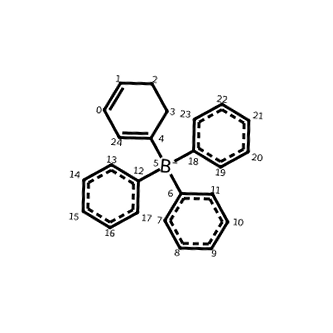 C1=CCCC([B-](c2ccccc2)(c2ccccc2)c2ccccc2)=C1